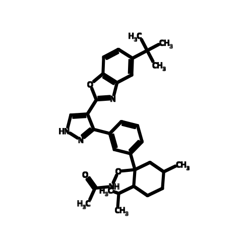 CC(=O)NOC1(c2cccc(-c3n[nH]cc3-c3nc4cc(C(C)(C)C)ccc4o3)c2)CC(C)CCC1C(C)C